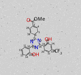 COC(=O)C1=CCC(c2nc(-c3ccccc3O)nc(-c3ccc(C(F)(F)F)cc3O)n2)C=C1